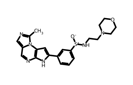 Cc1ncc2cnc3[nH]c(-c4cccc([S+]([O-])NCCN5CCOCC5)c4)cc3n12